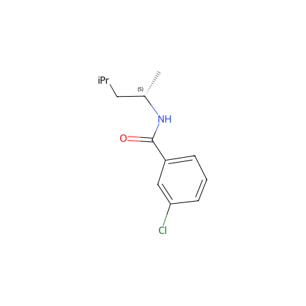 CC(C)C[C@H](C)NC(=O)c1cccc(Cl)c1